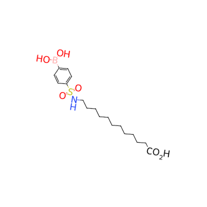 O=C(O)CCCCCCCCCCCNS(=O)(=O)c1ccc(B(O)O)cc1